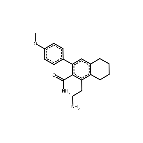 COc1ccc(-c2cc3c(c(CCN)c2C(N)=O)CCCC3)cc1